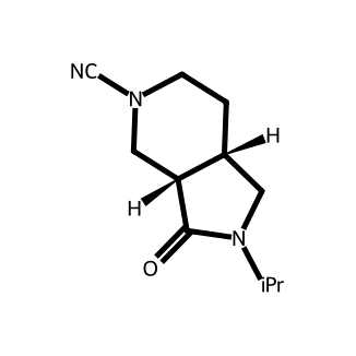 CC(C)N1C[C@H]2CCN(C#N)C[C@H]2C1=O